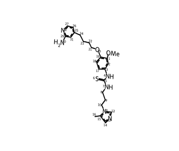 COc1cc(NC(=S)NCCCn2cncc2C)ccc1OCCCCc1ccnc(N)c1